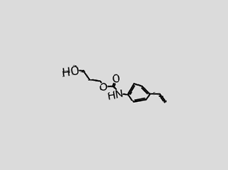 C=Cc1ccc(NC(=O)OCCCO)cc1